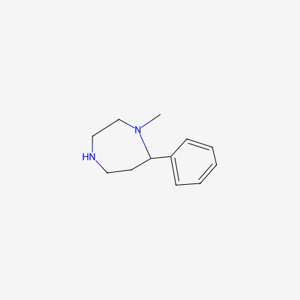 CN1CCNCCC1c1ccccc1